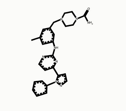 Cc1cc(CN2CCN(C(N)=O)CC2)cc(Nc2nccc(-c3ccnn3-c3ccccc3)n2)c1